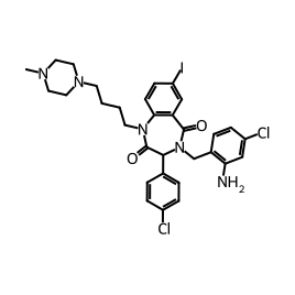 CN1CCN(CCCCN2C(=O)C(c3ccc(Cl)cc3)N(Cc3ccc(Cl)cc3N)C(=O)c3cc(I)ccc32)CC1